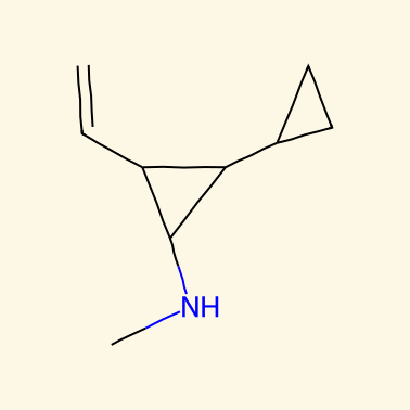 C=CC1C(NC)C1C1CC1